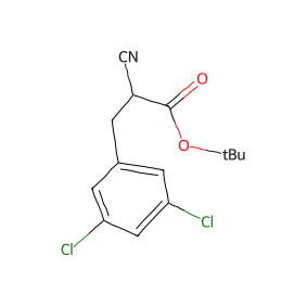 CC(C)(C)OC(=O)C(C#N)Cc1cc(Cl)cc(Cl)c1